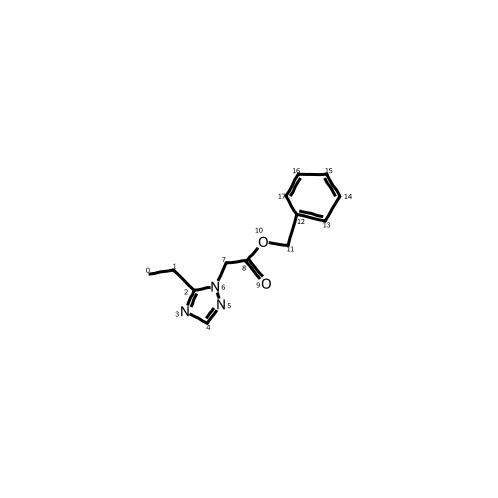 CCc1ncnn1CC(=O)OCc1ccccc1